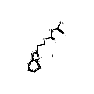 Cl.N=C(N)NC(=N)NCCc1nc2ccccc2s1